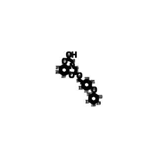 O=C(O)CN(CC(=O)OCc1ccc(Oc2ccccc2)cc1)c1ccccc1